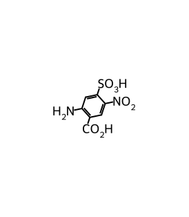 Nc1cc(S(=O)(=O)O)c([N+](=O)[O-])cc1C(=O)O